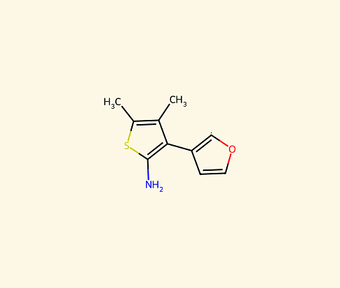 Cc1sc(N)c(-c2[c]occ2)c1C